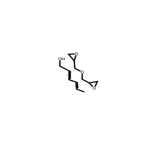 C(OCC1CO1)C1CO1.C/C=C/C=C/CO